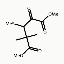 COC(=O)C(=O)C(SC)C(C)(C)C(=O)OC